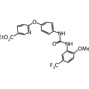 CCOC(=O)c1ccc(Oc2ccc(NC(=O)Nc3cc(C(F)(F)F)ccc3OC)cc2)nc1